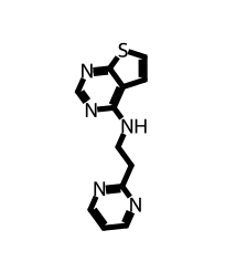 c1cnc(CCNc2ncnc3sccc23)nc1